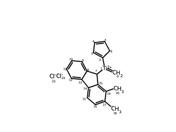 [CH2]=[Ti+2]([C]1=CC=CC1)[CH]1c2ccccc2-c2ccc(C)c(C)c21.[Cl-].[Cl-]